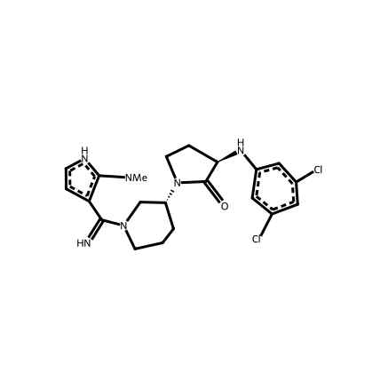 CNc1[nH]ccc1C(=N)N1CCC[C@@H](N2CC[C@@H](Nc3cc(Cl)cc(Cl)c3)C2=O)C1